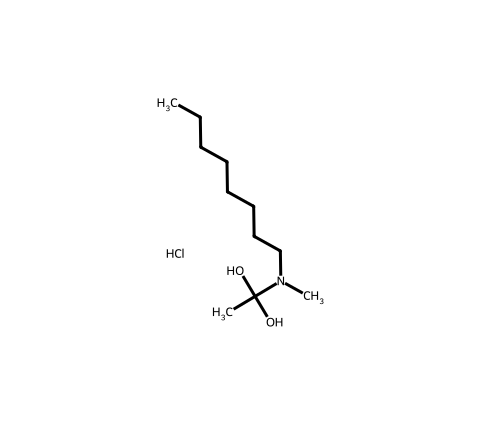 CCCCCCCCN(C)C(C)(O)O.Cl